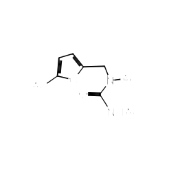 CC(=O)NC(=O)N(Cc1ccc(C(C)=O)o1)C(C)=O